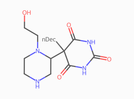 CCCCCCCCCCC1(C2CNCCN2CCO)C(=O)NC(=O)NC1=O